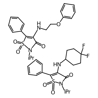 CC(C)N1C(=O)C(NC2CCC(F)(F)CC2)=C(c2ccccc2)S1(=O)=O.CC(C)N1C(=O)C(NCCOc2ccccc2)=C(c2ccccc2)S1(=O)=O